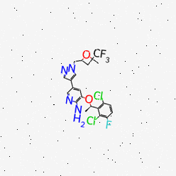 C[C@@H](Oc1cc(-c2cnn(CC3CC(C)(C(F)(F)F)O3)c2)cnc1N)c1c(Cl)ccc(F)c1Cl